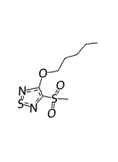 CCCCCOc1nsnc1S(C)(=O)=O